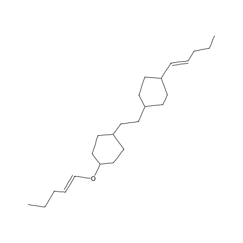 CCCC=COC1CCC(CCC2CCC(C=CCCC)CC2)CC1